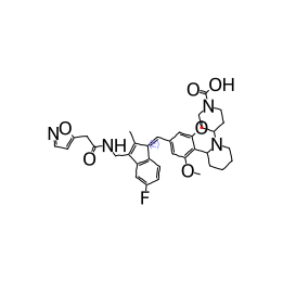 COc1cc(/C=C2/C(C)=C(CNC(=O)Cc3ccno3)c3cc(F)ccc32)cc(OC)c1C1CCCCN1C1CCN(C(=O)O)CC1